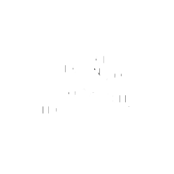 C=CC(=O)N(C)[C@@H](C)C(=O)OCC